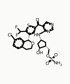 NS(=O)(=O)OC[C@H]1C[C@@H](Nc2ncncc2C(=O)c2cc([C@@H]3OCCc4ccc(Cl)cc43)c(C(F)F)s2)C[C@@H]1O